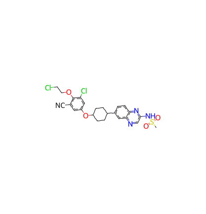 CS(=O)(=O)Nc1cnc2cc(C3CCC(Oc4cc(Cl)c(OCCCl)c(C#N)c4)CC3)ccc2n1